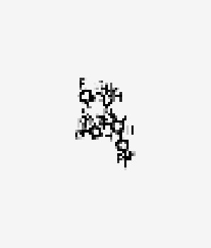 [2H]c1c([2H])c(-c2ccc(C(F)(F)F)cc2)c([2H])c(C)c1CN(CCN(C([2H])([2H])C)C([2H])([2H])C)C(=O)Cn1c(SCc2ccc(F)cc2)nc(=O)c2c1CCC2